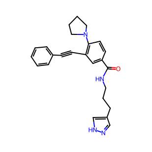 O=C(NCCCc1cn[nH]c1)c1ccc(N2CCCC2)c(C#Cc2ccccc2)c1